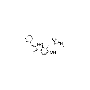 C=C(C)CCc1c(O)ccc(C(=O)/C=C/c2ccccc2)c1O